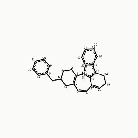 C1=CC2=C(CCC(Cc3ccccc3)C2)n2c3c(c4cnccc42)CCC=C13